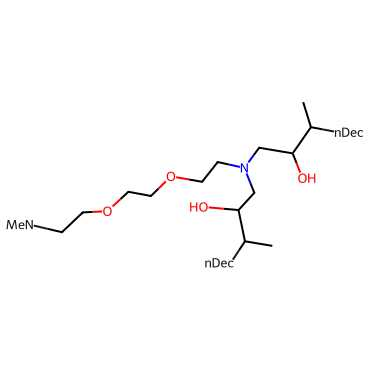 CCCCCCCCCCC(C)C(O)CN(CCOCCOCCNC)CC(O)C(C)CCCCCCCCCC